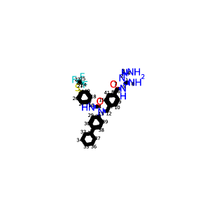 N=C(/N=N\N)NC(=O)c1ccc(CN(C(=O)Nc2ccc(SC(F)(F)F)cc2)c2ccc(C3CCCCC3)cc2)cc1